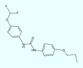 CCCOc1ccc(NC(=O)Nc2ccc(OC(F)F)cc2)cc1